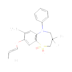 CCCCC1(CC)CN(c2ccccc2)c2cc(NC)c(O/C=C/C(=O)O)cc2S(=O)(=O)C1